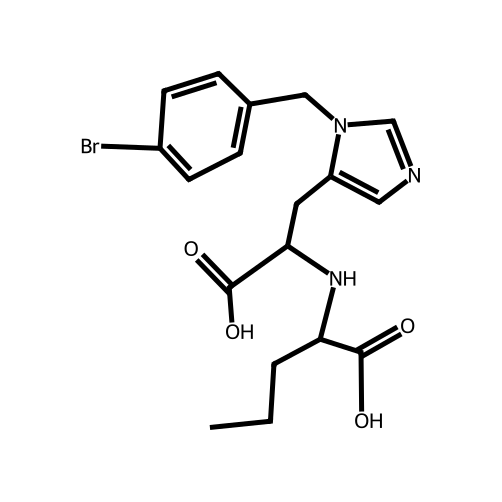 CCCC(NC(Cc1cncn1Cc1ccc(Br)cc1)C(=O)O)C(=O)O